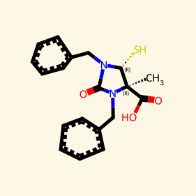 C[C@@]1(C(=O)O)[C@@H](S)N(Cc2ccccc2)C(=O)N1Cc1ccccc1